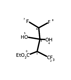 CCOC(=O)C(C(F)(F)F)C(O)(O)C(F)F